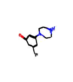 CC(C)C1CC(=O)C=C(N2CCNCC2)C1